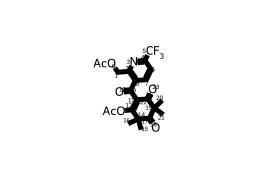 CC(=O)OCc1nc(C(F)(F)F)ccc1C(=O)C1=C(OC(C)=O)C(C)(C)C(=O)C(C)(C)C1=O